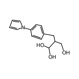 OCC(Cc1ccc(-n2cccc2)cc1)C(O)O